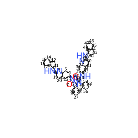 O=C(Nc1ccc2nc(N[C@@H]3CCc4ccccc43)ccc2c1)N(C1CCCCC1)N(C(=O)Nc1ccc2nc(N[C@@H]3CCc4ccccc43)ccc2c1)C1CCCCC1